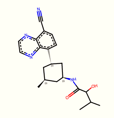 CC(C)C(O)C(=O)N[C@H]1C[C@@H](C)C[C@H](c2ccc(C#N)c3nccnc23)C1